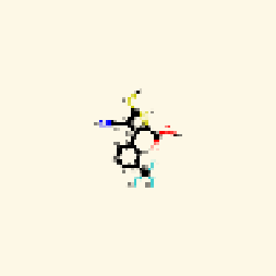 COC(=O)c1sc(SC)c(C#N)c1-c1cccc(C(F)(F)F)c1